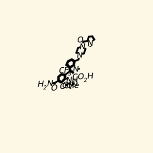 COc1c(C(N)=O)cc(C(F)(F)F)c(-c2c(C(=O)O)n(C)c3c(CN4CCN(C(=O)C5CCCN5C)CC4)cccc23)c1NS(C)(=O)=O